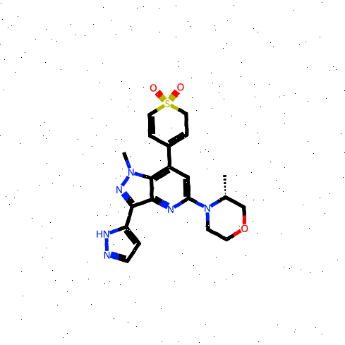 C[C@@H]1COCCN1c1cc(C2=CCS(=O)(=O)C=C2)c2c(n1)c(-c1ccn[nH]1)nn2C